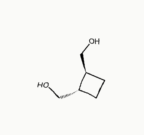 OC[C@H]1CC[C@@H]1CO